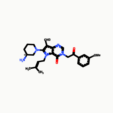 COc1cccc(C(=O)Cn2cnc3c(C=O)c(N4CCC[C@H](N)C4)n(CC=C(C)C)c3c2=O)c1